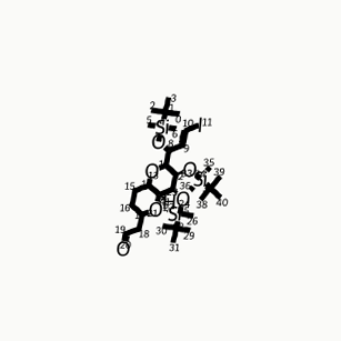 CC(C)(C)[Si](C)(C)OC(/C=C/I)C1OC2CCC(CC=O)O[C@@H]2[C@H](O[Si](C)(C)C(C)(C)C)[C@@H]1O[Si](C)(C)C(C)(C)C